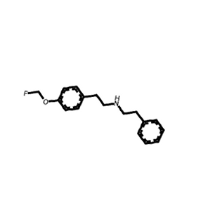 FCOc1ccc(CCNCCc2ccccc2)cc1